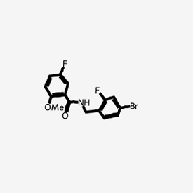 COc1ccc(F)cc1C(=O)NCc1ccc(Br)cc1F